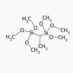 CO[Si](OC)(OC)[C](C)[Si](OC)(OC)OC